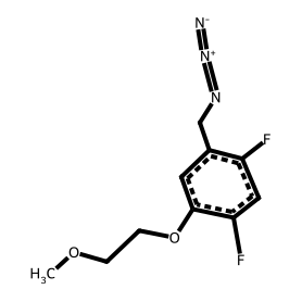 COCCOc1cc(CN=[N+]=[N-])c(F)cc1F